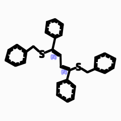 C(/C=C(\SCc1ccccc1)c1ccccc1)=C(/SCc1ccccc1)c1ccccc1